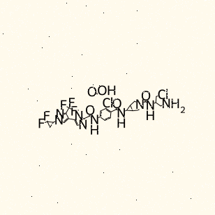 Cn1c(-c2cn(C3CC3(F)F)nc2C(F)(F)F)cnc1C(=O)Nc1ccc(C(=O)NC2C3CN(C(=O)NC(CN)CCl)CC32)c(Cl)c1.O=CO